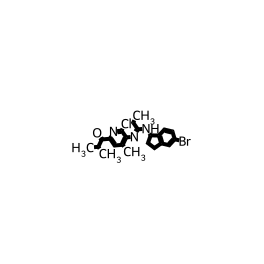 CCC(=Nc1c(C)cc(C(=O)C(C)C)nc1Cl)NC1CCc2cc(Br)ccc21